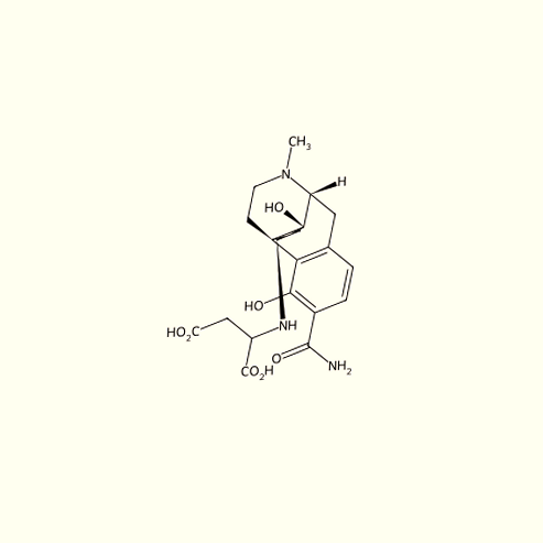 CN1CC[C@]23C[C@H](NC(CC(=O)O)C(=O)O)CC[C@@]2(O)[C@H]1Cc1ccc(C(N)=O)c(O)c13